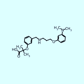 CN(C)c1cccc(OCCCNCc2cccc(OC(C)(C)C(=O)O)c2)c1